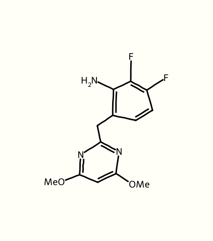 COc1cc(OC)nc(Cc2ccc(F)c(F)c2N)n1